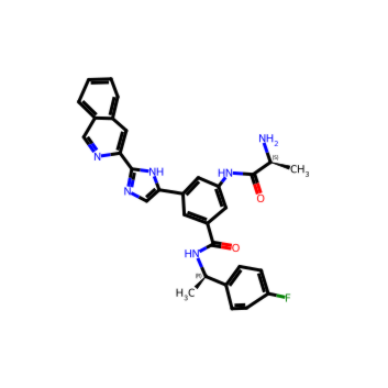 C[C@H](N)C(=O)Nc1cc(C(=O)N[C@H](C)c2ccc(F)cc2)cc(-c2cnc(-c3cc4ccccc4cn3)[nH]2)c1